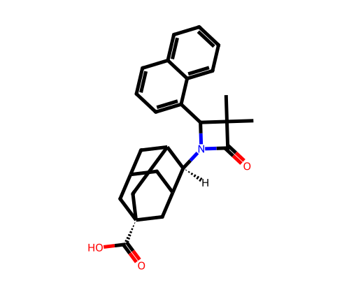 CC1(C)C(=O)N([C@H]2C3CC4CC2C[C@](C(=O)O)(C4)C3)C1c1cccc2ccccc12